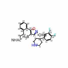 Bc1c([C@H]2CNCC[C@]2(OC)c2ccc(F)c(F)c2)noc1-c1ccccc1CCNC(C)=O